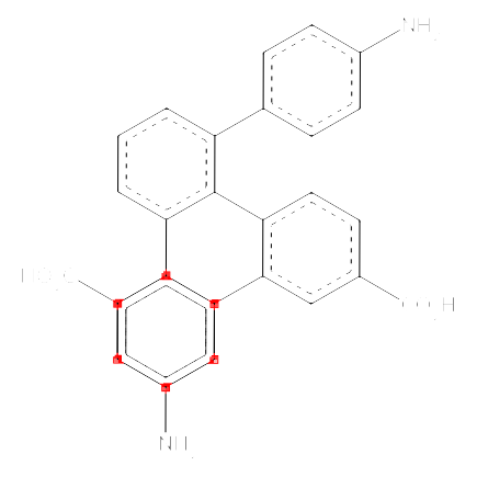 Nc1ccc(-c2cccc(-c3ccc(N)cc3)c2-c2ccc(C(=O)O)cc2-c2cccc(C(=O)O)c2)cc1